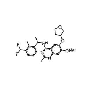 COc1cc2nc(C)nc(N[C@H](C)c3cccc(C(F)F)c3C)c2cc1O[C@H]1CCOC1